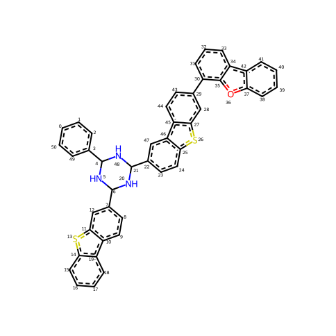 c1ccc(C2NC(c3ccc4c(c3)sc3ccccc34)NC(c3ccc4sc5cc(-c6cccc7c6oc6ccccc67)ccc5c4c3)N2)cc1